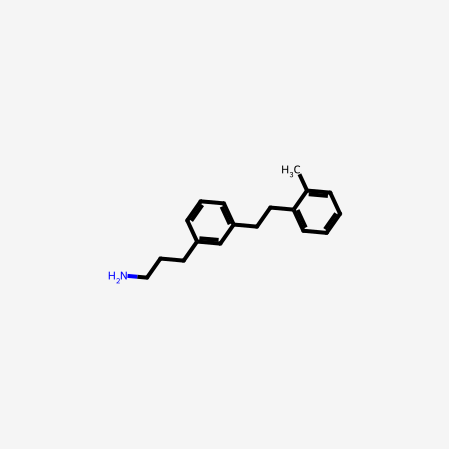 Cc1ccccc1CCc1cccc(CCCN)c1